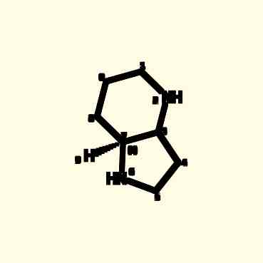 C1CNC2CCN[C@H]2C1